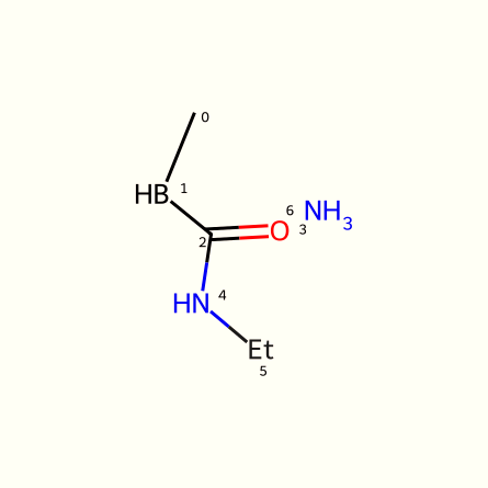 CBC(=O)NCC.N